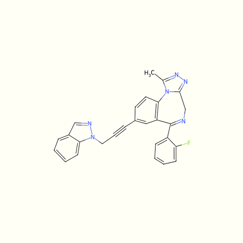 Cc1nnc2n1-c1ccc(C#CCn3ncc4ccccc43)cc1C(c1ccccc1F)=NC2